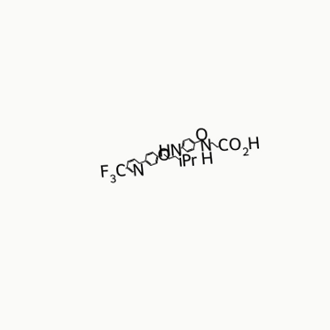 CC(C)C(COc1ccc(-c2ccc(C(F)(F)F)cn2)cc1)Nc1ccc(C(=O)NCCC(=O)O)cc1